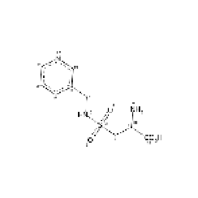 N[C@@H](CS(=O)(=O)NCc1cccnc1)C(=O)O